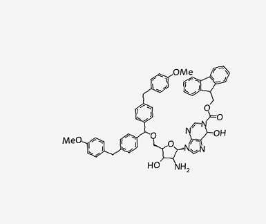 COc1ccc(Cc2ccc(C(OC[C@H]3O[C@@H](n4cnc5c4N=CN(C(=O)OCC4c6ccccc6-c6ccccc64)C5O)C(N)C3O)c3ccc(Cc4ccc(OC)cc4)cc3)cc2)cc1